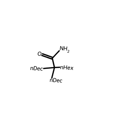 CCCCCCCCCCC(CCCCCC)(CCCCCCCCCC)C(N)=O